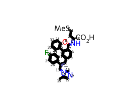 CSCC[C@H](NC(=O)c1ccc(/C=C(/Cn2cncc2C)c2ccc(F)cc2)cc1-c1ccccc1)C(=O)O